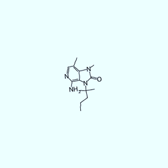 CCCC(C)(C)n1c(=O)n(C)c2c(C)cnc(N)c21